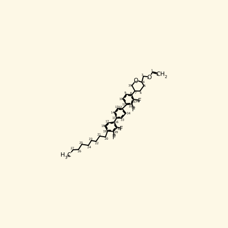 C=COCC1CCC(c2ccc(-c3ccc(-c4ccc(CCCCCCCCC)c(F)c4F)cc3)c(F)c2F)CO1